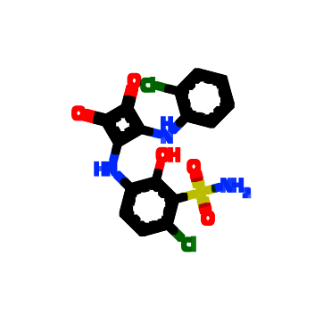 NS(=O)(=O)c1c(Cl)ccc(Nc2c(Nc3ccccc3Cl)c(=O)c2=O)c1O